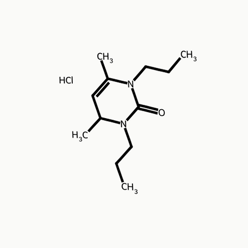 CCCN1C(=O)N(CCC)C(C)C=C1C.Cl